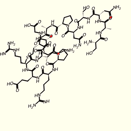 CSCC[C@H](NC(=O)[C@H](C)NC(=O)[C@@H]1CCCN1C(=O)[C@H](CC(N)=O)NC(=O)[C@H](CO)NC(=O)[C@H](CC(N)=O)NC(=O)[C@H](C)NC(=O)[C@@H](N)CO)C(=O)N[C@@H](C)C(=O)N1CCC[C@H]1C(=O)N[C@@H](CCCNC(=N)N)C(=O)N[C@@H](CCC(=O)O)C(=O)N[C@@H](CCCNC(=N)N)C(=O)N[C@@H](CCCCN)C(=O)N[C@@H](C)C(=O)NCC(=O)O